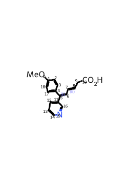 COc1ccc(/C(=C\C=C\CC(=O)O)c2cccnc2)cc1